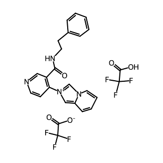 O=C(NCCc1ccccc1)c1cnccc1-[n+]1cc2ccccn2c1.O=C(O)C(F)(F)F.O=C([O-])C(F)(F)F